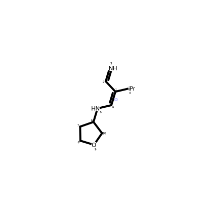 CC(C)/C(C=N)=C/NC1CCOC1